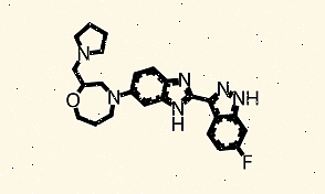 Fc1ccc2c(-c3nc4ccc(N5CCCOC(CN6CCCC6)C5)cc4[nH]3)n[nH]c2c1